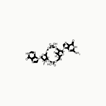 Nc1nc2c(ncn2[C@@H]2O[C@@H]3COP(=O)(O)O[C@@H]4C(COP(=O)(O)O[C@@H]2[C@@H]3F)O[C@@H](n2cnc3c(=O)[nH]cnc32)[C@H]4F)c(=O)[nH]1